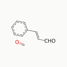 C=O.O=C/C=C/c1ccccc1